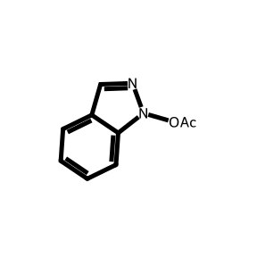 CC(=O)On1ncc2ccccc21